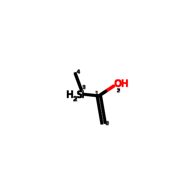 C=C(O)[SiH2]C